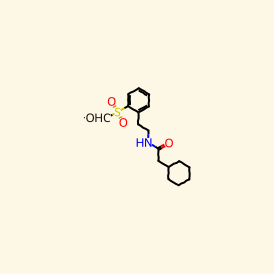 O=[C]S(=O)(=O)c1ccccc1CCNC(=O)CC1CCCCC1